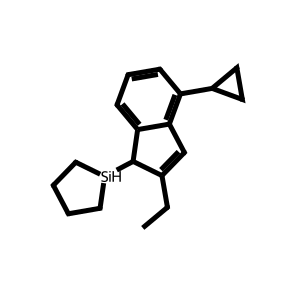 CCC1=Cc2c(C3CC3)cccc2C1[SiH]1CCCC1